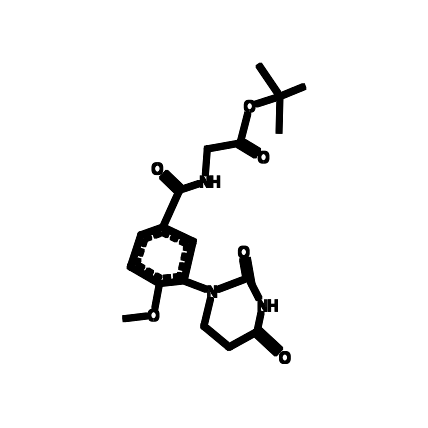 COc1ccc(C(=O)NCC(=O)OC(C)(C)C)cc1N1CCC(=O)NC1=O